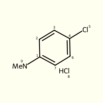 CNc1ccc(Cl)cc1.Cl